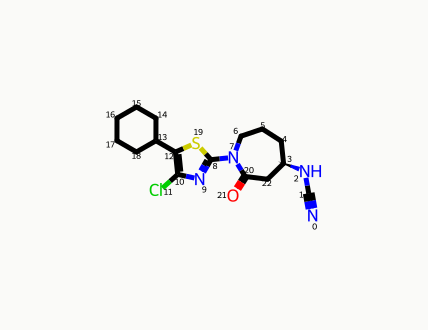 N#CN[C@@H]1CCCN(c2nc(Cl)c(C3CCCCC3)s2)C(=O)C1